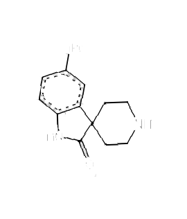 CC(C)c1ccc2c(c1)C1(CCNCC1)C(=O)N2